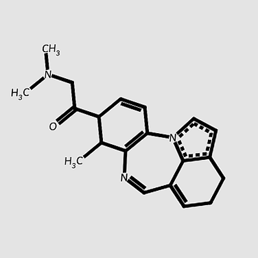 CC1C2=C(C=CC1C(=O)CN(C)C)n1ccc3c1C(=CCC3)C=N2